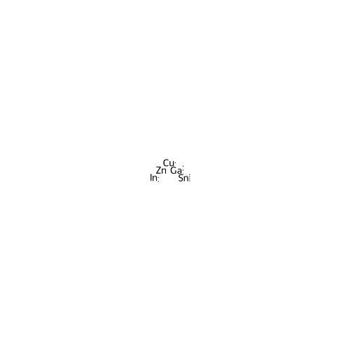 [Cu].[Ga].[In].[Sn].[Zn]